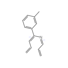 C=C/C=N\C(=C/C=C)c1cccc(C)c1